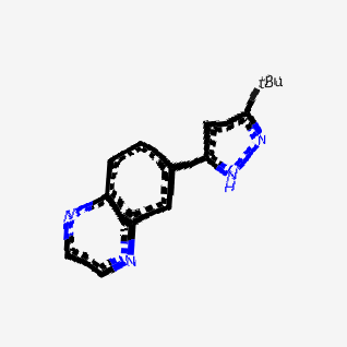 CC(C)(C)c1cc(-c2ccc3nccnc3c2)[nH]n1